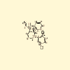 S=CN[C@@H]1CCCN2c3cc(Cl)ccc3Oc3ccccc3[C@@H]12